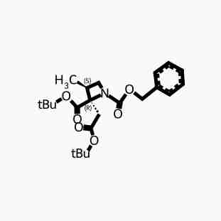 C[C@H]1CN(C(=O)OCc2ccccc2)[C@@]1(CC(=O)OC(C)(C)C)C(=O)OC(C)(C)C